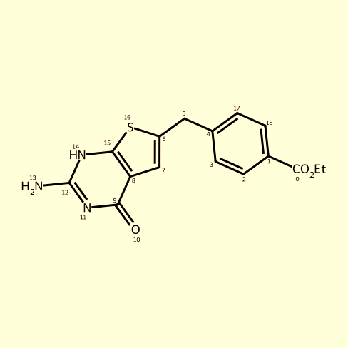 CCOC(=O)c1ccc(Cc2cc3c(=O)nc(N)[nH]c3s2)cc1